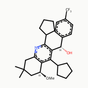 CO[C@H]1CC(C)(C)Cc2nc(C3CCCC3)c([C@@H](O)c3ccc(C(F)(F)F)cc3)c(C3CCCC3)c21